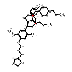 CCC/C=C(/C1=C(/c2cc(OC)c(OCCCN3CCCC3)cc2C)CCCC(CC2CCC(CCC)CC2)CC1)c1ccc(C)o1